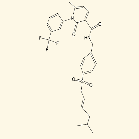 Cc1ccc(C(=O)NCc2ccc(S(=O)(=O)CC=CCC(C)C)cc2)c(=O)n1-c1cccc(C(F)(F)F)c1